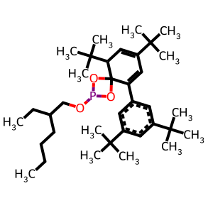 CCCCC(CC)COP1OC2(O1)C(c1cc(C(C)(C)C)cc(C(C)(C)C)c1)=CC(C(C)(C)C)=CC2C(C)(C)C